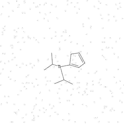 C[CH](C)[Ti]([C]1=CC=CC1)[CH](C)C